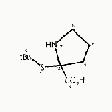 CC(C)(C)SC1(C(=O)O)CCCN1